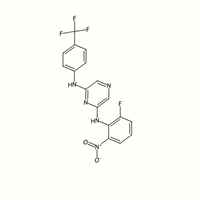 O=[N+]([O-])c1cccc(F)c1Nc1cncc(Nc2ccc(C(F)(F)F)cc2)n1